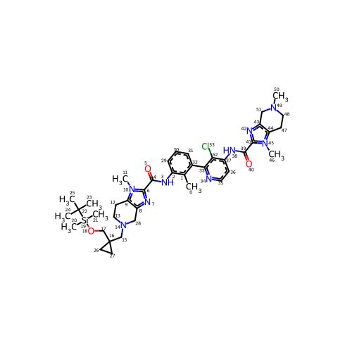 Cc1c(NC(=O)c2nc3c(n2C)CCN(CC2(CO[Si](C)(C)C(C)(C)C)CC2)C3)cccc1-c1nccc(NC(=O)c2nc3c(n2C)CCN(C)C3)c1Cl